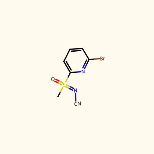 CS(=O)(=NC#N)c1cccc(Br)n1